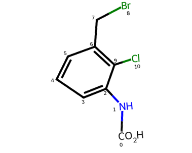 O=C(O)Nc1cccc(CBr)c1Cl